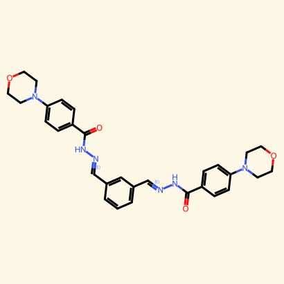 O=C(N/N=C/c1cccc(/C=N/NC(=O)c2ccc(N3CCOCC3)cc2)c1)c1ccc(N2CCOCC2)cc1